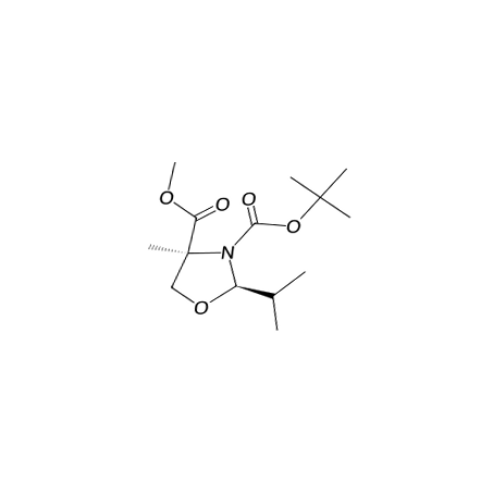 COC(=O)[C@]1(C)CO[C@H](C(C)C)N1C(=O)OC(C)(C)C